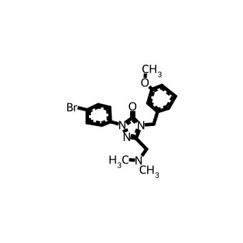 COc1cccc(Cn2c(CN(C)C)nn(-c3ccc(Br)cc3)c2=O)c1